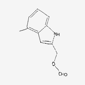 Cc1cccc2[nH]c(COC=O)cc12